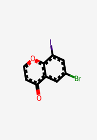 O=c1ccoc2c(I)cc(Br)cc12